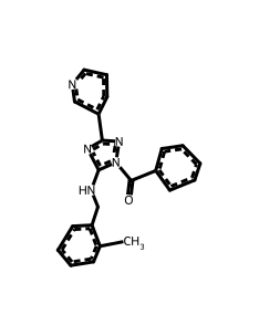 Cc1ccccc1CNc1nc(-c2cccnc2)nn1C(=O)c1ccccc1